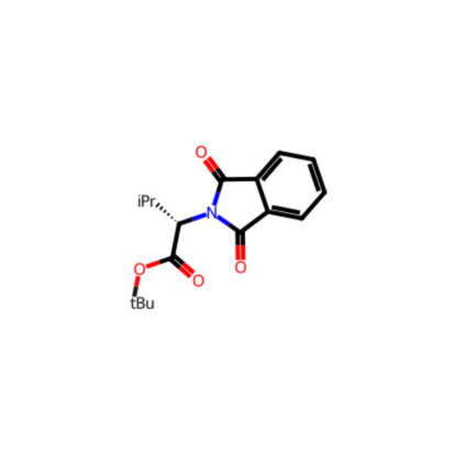 CC(C)[C@@H](C(=O)OC(C)(C)C)N1C(=O)c2ccccc2C1=O